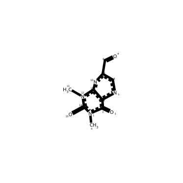 Cn1c(=O)c2ncc(C=O)nc2n(C)c1=O